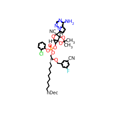 CCCCCCCCCCCCCCCCCCC[C@H](COP(=O)(Oc1ccccc1Cl)OC1[C@H]2O[C@@](C#N)(c3ccc4c(N)ncnn34)[C@@H]3OC(C)(C)O[C@]123)OCc1cc(F)cc(C#N)c1